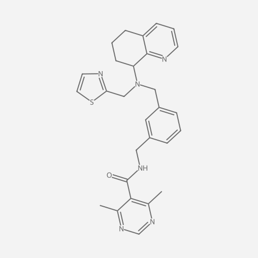 Cc1ncnc(C)c1C(=O)NCc1cccc(CN(Cc2nccs2)C2CCCc3cccnc32)c1